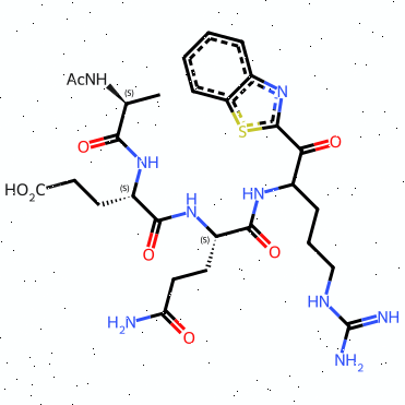 CC(=O)N[C@@H](C)C(=O)N[C@@H](CCC(=O)O)C(=O)N[C@@H](CCC(N)=O)C(=O)NC(CCCNC(=N)N)C(=O)c1nc2ccccc2s1